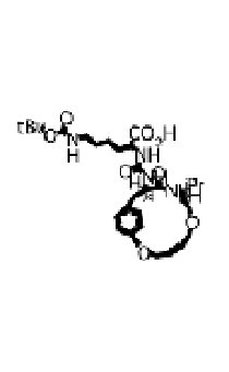 CC(C)[C@H]1COCC=CCOc2ccc(cc2)C[C@@H](NC(=O)NC(CCCCNC(=O)OC(C)(C)C)C(=O)O)C(=O)N1